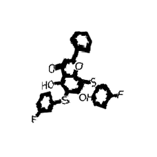 O=c1cc(-c2ccccc2)oc2c(Sc3cccc(F)c3)c(O)c(Sc3cccc(F)c3)c(O)c12